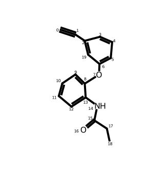 C#Cc1cccc(Oc2ccccc2NC(=O)CC)c1